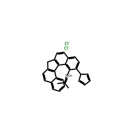 C[C](C)=[Zr+2][c]1c(C2C=CC=C2)ccc2ccc3c(c12)-c1c(ccc2ccccc12)C3.[Cl-].[Cl-]